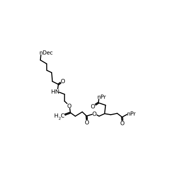 C=C(CCC(=O)OCC(CCC(=O)CCC)CC(=O)CCC)OCCNC(=O)CCCCCCCCCCCCCCC